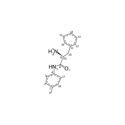 Cc1ccc(NC(=O)[C@@H](N)Cc2ccccc2)cc1